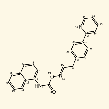 O=C(Nc1cccc2ccccc12)ON=CCc1ccc(-c2ccccn2)cc1